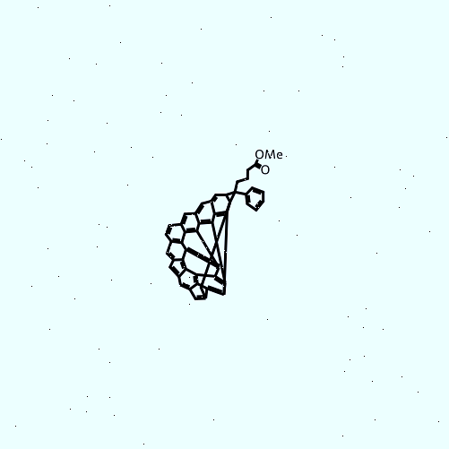 COC(=O)CCCC1(c2ccccc2)C2C=c3cc4cc5ccc6cc7cc8cc9cc%10c%11c%12c(c3c3c4c4c5c6c5c7c8c(c9%11)c(c%123)c54)C21C%10